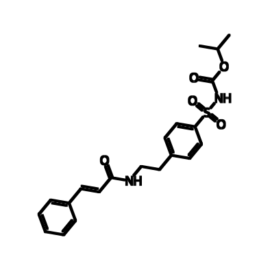 CC(C)OC(=O)NS(=O)(=O)c1ccc(CCNC(=O)C=Cc2ccccc2)cc1